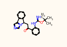 CC(C)(C)OC(=N)Nc1ccccc1C(=O)CC1c2ccccc2-c2cncn21